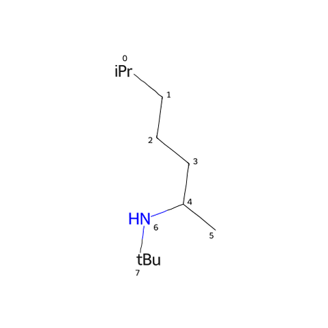 CC(C)CCCC(C)NC(C)(C)C